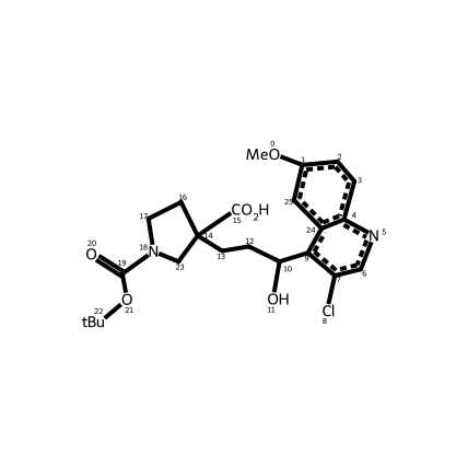 COc1ccc2ncc(Cl)c(C(O)CCC3(C(=O)O)CCN(C(=O)OC(C)(C)C)C3)c2c1